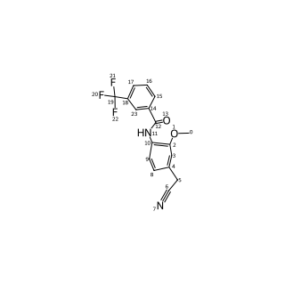 COc1cc(CC#N)ccc1NC(=O)c1cccc(C(F)(F)F)c1